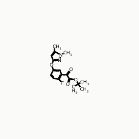 Cc1cc(Oc2ccc(F)c(C(=O)C(=O)OC(C)(C)C)c2)nn1C